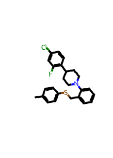 Cc1ccc(SCc2ccccc2N2CCC(c3ccc(Cl)cc3F)CC2)cc1